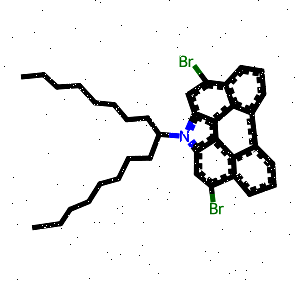 CCCCCCCCC(CCCCCCCC)n1c2cc(Br)c3cccc4c5cccc6c(Br)cc1c(c65)c2c34